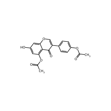 CC(=O)Oc1ccc(-c2coc3cc(O)cc(OC(C)=O)c3c2=O)cc1